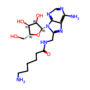 NCCCCCC(=O)NCc1nc2c(N)ncnc2n1[C@@H]1O[C@H](CO)[C@@H](O)[C@H]1O